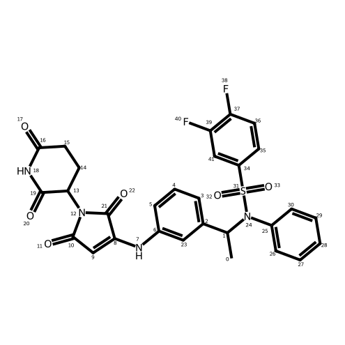 CC(c1cccc(NC2=CC(=O)N(C3CCC(=O)NC3=O)C2=O)c1)N(c1ccccc1)S(=O)(=O)c1ccc(F)c(F)c1